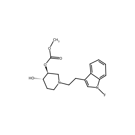 COC(=O)O[C@H]1CN(CCc2cn(F)c3ccccc23)CC[C@@H]1O